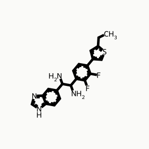 CCc1cc(-c2ccc(C(N)C(N)c3ccc4[nH]cnc4c3)c(F)c2F)cs1